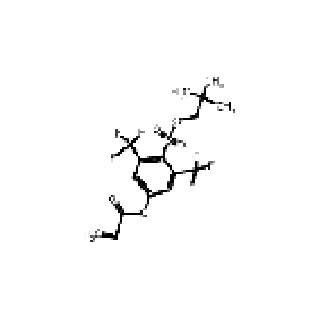 C=CC(=O)Oc1cc(C(F)(F)F)c(S(=O)(=O)OCC(C)(C)C)c(C(F)(F)F)c1